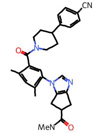 CNC(=O)C1Cc2ncn(-c3cc(C(=O)N4CCC(c5ccc(C#N)cc5)CC4)c(C)cc3C)c2C1